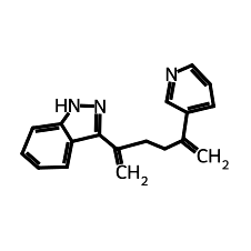 C=C(CCC(=C)c1n[nH]c2ccccc12)c1cccnc1